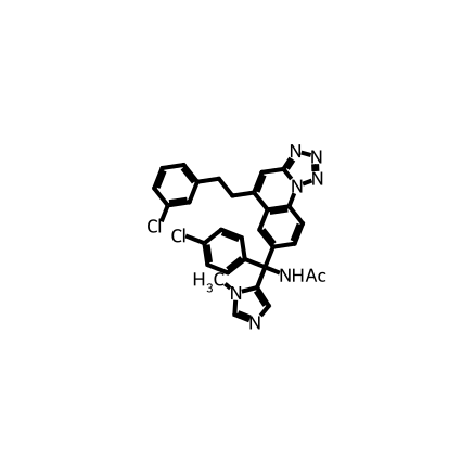 CC(=O)NC(c1ccc(Cl)cc1)(c1ccc2c(c1)c(CCc1cccc(Cl)c1)cc1nnnn12)c1cncn1C